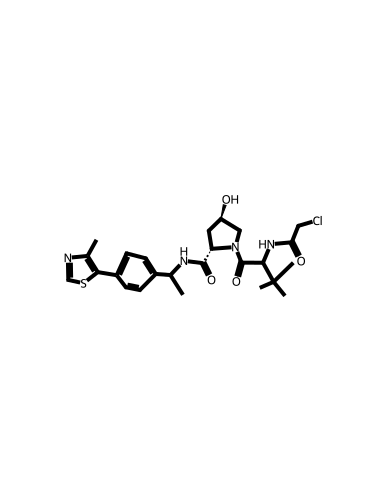 Cc1ncsc1-c1ccc(C(C)NC(=O)[C@@H]2C[C@@H](O)CN2C(=O)C(NC(=O)CCl)C(C)(C)C)cc1